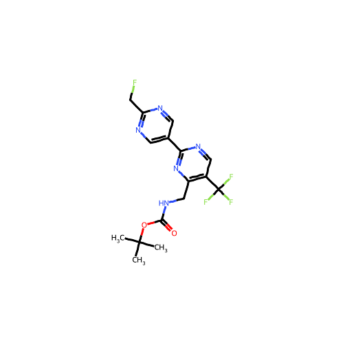 CC(C)(C)OC(=O)NCc1nc(-c2cnc(CF)nc2)ncc1C(F)(F)F